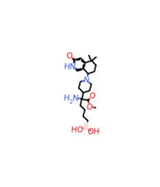 COC(=O)C(N)(CCCCB(O)O)C1CCN(C2CCC(C)(C)c3cc(=O)[nH]cc32)CC1